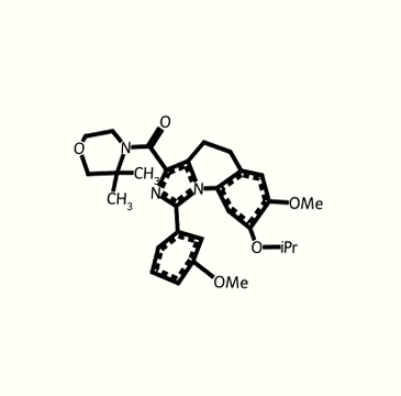 COc1cccc(-c2nc(C(=O)N3CCOCC3(C)C)c3n2-c2cc(OC(C)C)c(OC)cc2CC3)c1